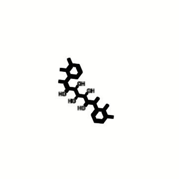 CC(=C(O)[C@@H](O)[C@H](O)[C@@H](O)C(O)=C(C)c1cccc(C)c1C)c1cccc(C)c1C